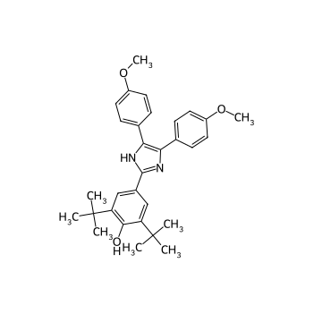 COc1ccc(-c2nc(-c3cc(C(C)(C)C)c(O)c(C(C)(C)C)c3)[nH]c2-c2ccc(OC)cc2)cc1